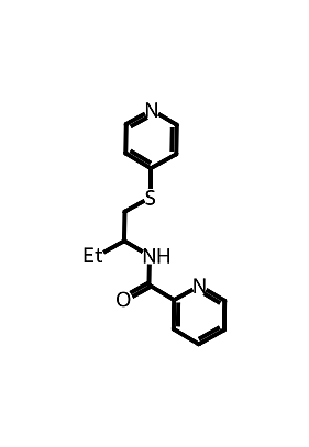 CCC(CSc1ccncc1)NC(=O)c1ccccn1